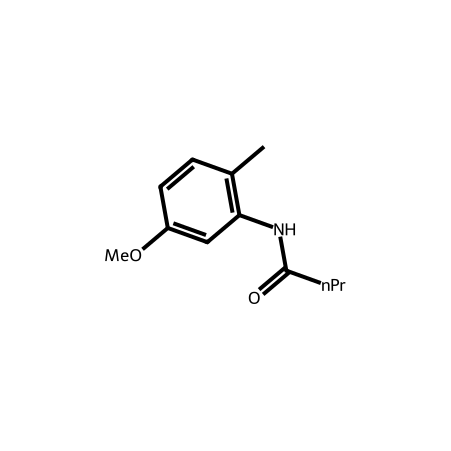 CCCC(=O)Nc1cc(OC)ccc1C